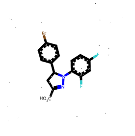 O=C(O)C1=NN(c2ccc(F)cc2F)C(c2ccc(Br)cc2)C1